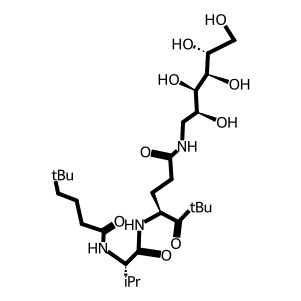 CC(C)[C@H](NC(=O)CCCC(C)(C)C)C(=O)N[C@@H](CCC(=O)NC[C@H](O)[C@@H](O)[C@H](O)[C@H](O)CO)C(=O)C(C)(C)C